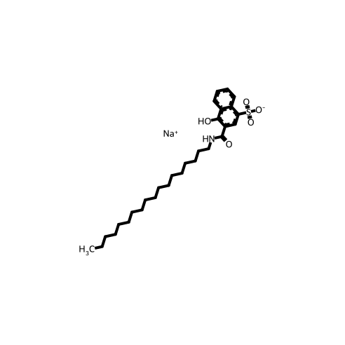 CCCCCCCCCCCCCCCCCCNC(=O)c1cc(S(=O)(=O)[O-])c2ccccc2c1O.[Na+]